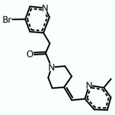 Cc1cccc(C=C2CCN(C(=O)Cc3cncc(Br)c3)CC2)n1